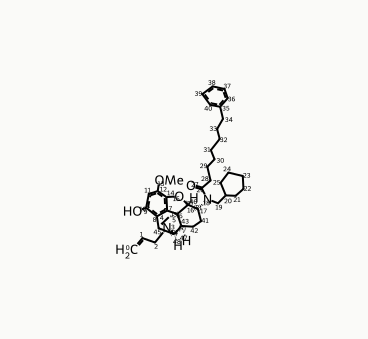 C=CCN1CC[C@]23c4c5c(O)cc(OC)c4O[C@H]2[C@H](N(CC2CCCCC2)C(=O)CCCCCCCc2ccccc2)CC[C@H]3[C@H]1C5